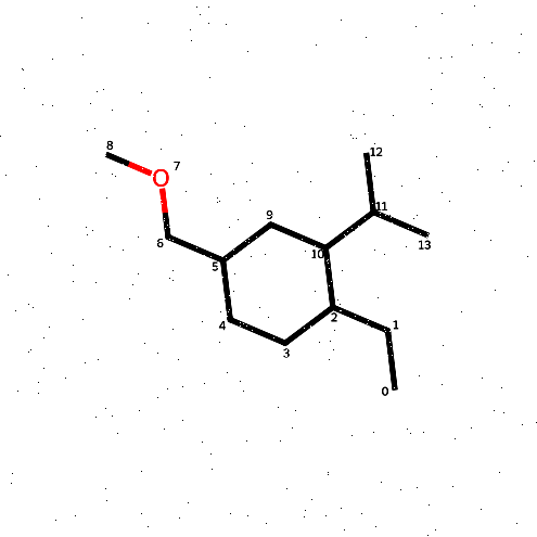 CCC1CCC(COC)CC1C(C)C